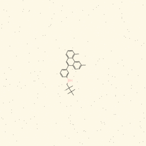 Cc1ccc2c(-c3cccc(BCC(C)(C)C(C)(C)C)c3)cc3cccc(C)c3c2c1